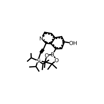 CC(C)[Si](C#Cc1nccc2cc(O)cc(B3OC(C)(C)C(C)(C)O3)c12)(C(C)C)C(C)C